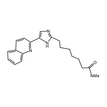 CNC(=O)CCCCCCc1ncc(-c2ccc3ccccc3n2)[nH]1